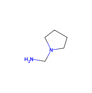 NCN1CCCC1